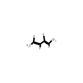 FC(C(F)=C(F)C(F)(F)F)=C(F)C(F)(F)F